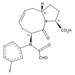 O=CC(=O)N(c1cccc(F)c1)[C@H]1C/C=C\C[C@@H]2CC[C@@H](C(=O)O)N2C1=O